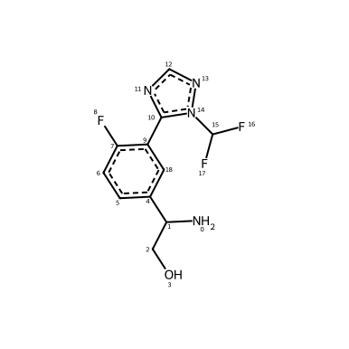 NC(CO)c1ccc(F)c(-c2ncnn2C(F)F)c1